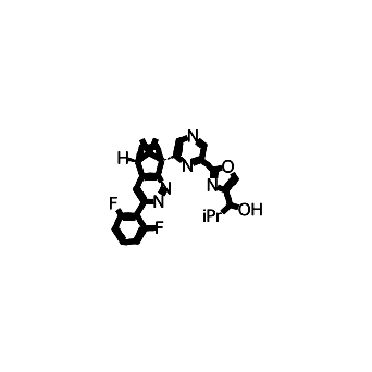 CC(C)C(O)c1coc(-c2cncc([C@]34CC[C@@H](c5cc(-c6c(F)cccc6F)nnc53)C4(C)C)n2)n1